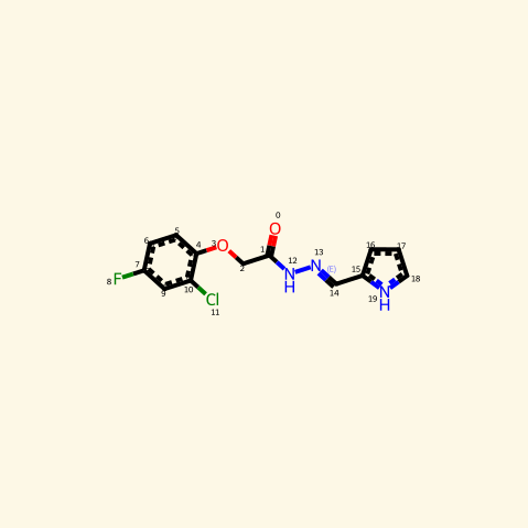 O=C(COc1ccc(F)cc1Cl)N/N=C/c1ccc[nH]1